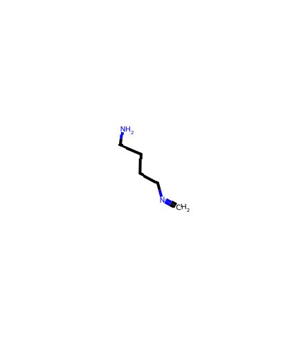 C=NCCCCN